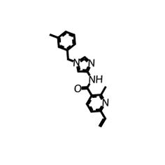 C=Cc1ccc(C(=O)Nc2cn(Cc3cccc(C)c3)cn2)c(C)n1